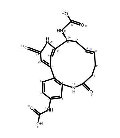 O=C(O)Nc1ccc2c(c1)NC(=O)CC/C=C/C[C@H](NC(=O)O)c1cc-2cc(=O)[nH]1